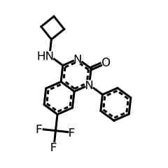 O=c1nc(NC2CCC2)c2ccc(C(F)(F)F)cc2n1-c1ccccc1